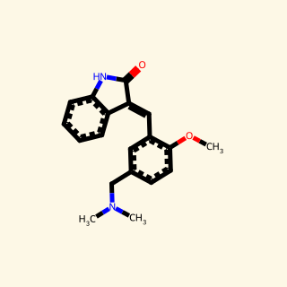 COc1ccc(CN(C)C)cc1/C=C1/C(=O)Nc2ccccc21